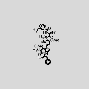 CC[C@H](C)[C@@H]([C@@H](CC(=O)N1CCCC1[C@H](OC)[C@@H](C)C(=O)NC(CO)Cc1ccccc1)OC)N(C)C(=O)C(NC(=O)N1CCOC(C)C1)C(C)C